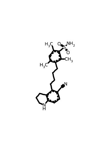 Cc1cc(C)c(S(N)(=O)=O)c(C)c1CCCCc1c(C#N)ccc2c1CCCN2